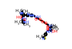 Cc1cc(C)c(CNC(O)c2cc(-c3ccc(N4CCN(CCNC(=O)CCOCCOCCOCCC(=O)N[C@H](C(=O)N5C[C@H](O)C[C@H]5C(=O)NCc5ccc(-c6scnc6C)cc5)C(C)(C)C)CC4)nc3)cc3c2cnn3C(C)C)c(=O)[nH]1